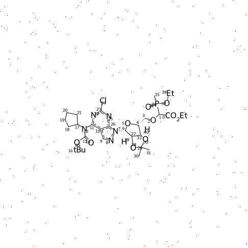 CCOC(=O)C(OC[C@H]1O[C@@H](n2ncc3c(N(C(=O)OC(C)(C)C)C4CCCC4)nc(Cl)nc32)[C@@H]2OC(C)(C)O[C@@H]21)P(C)(=O)OCC